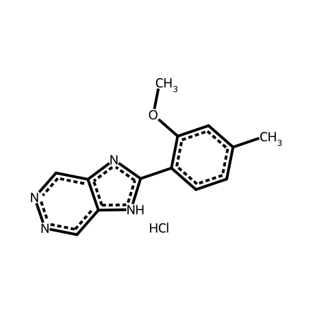 COc1cc(C)ccc1-c1nc2cnncc2[nH]1.Cl